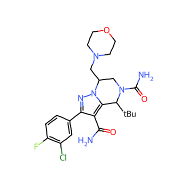 CC(C)(C)C1c2c(C(N)=O)c(-c3ccc(F)c(Cl)c3)nn2C(CN2CCOCC2)CN1C(N)=O